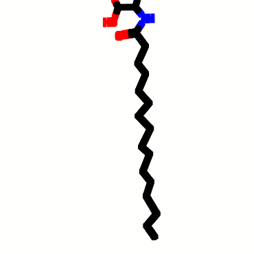 CCCCCCCCCCCCCCCC(=O)NC(C)C(O)O